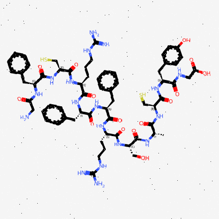 C[C@H](NC(=O)[C@H](CO)NC(=O)[C@H](CCCNC(=N)N)NC(=O)[C@H](Cc1ccccc1)NC(=O)[C@H](Cc1ccccc1)NC(=O)[C@H](CCCNC(=N)N)NC(=O)[C@H](CS)NC(=O)[C@H](Cc1ccccc1)NC(=O)CN)C(=O)N[C@@H](CS)C(=O)N[C@@H](Cc1ccc(O)cc1)C(=O)NCC(=O)O